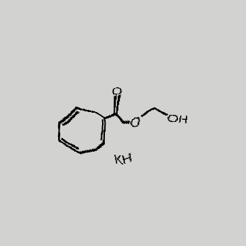 O=C(OCO)c1ccccc1.[KH]